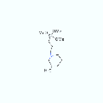 CO[Si](CCCN1CCCC(C)C1)(OC)OC